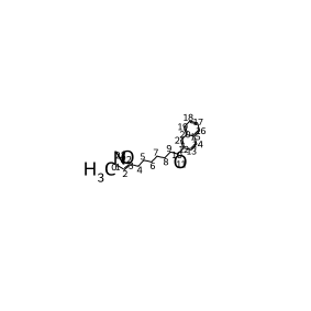 Cc1cc(CCCCCCC(=O)c2ccc3ccccc3c2)on1